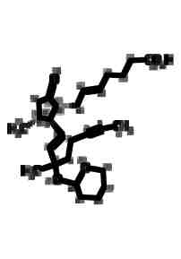 CC#CCCC(C)(C=C[C@H]1[C@H](C)CC(=O)[C@@H]1CC=CCCCC(=O)O)OC1CCCCO1